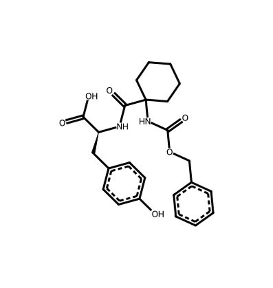 O=C(NC1(C(=O)N[C@@H](Cc2ccc(O)cc2)C(=O)O)CCCCC1)OCc1ccccc1